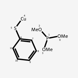 COP(OC)OC.[Cu][S]c1ccccc1